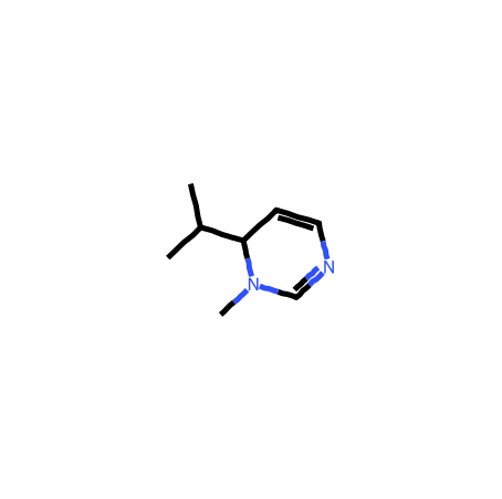 CC(C)C1C=CN=CN1C